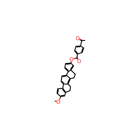 COc1ccc2c(c1)CCc1c-2ccc2c1CCc1cc(OC(=O)c3ccc(C(C)=O)cc3)ccc1-2